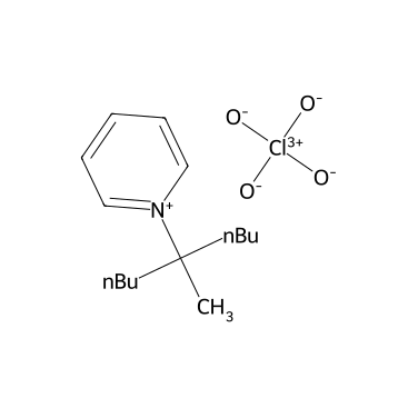 CCCCC(C)(CCCC)[n+]1ccccc1.[O-][Cl+3]([O-])([O-])[O-]